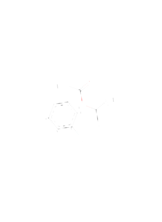 CC(=O)OC(C)C.Fc1ccccc1